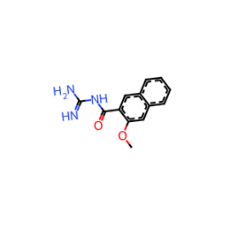 COc1cc2ccccc2cc1C(=O)NC(=N)N